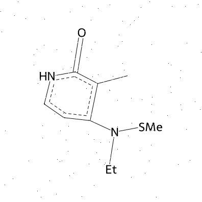 CCN(SC)c1cc[nH]c(=O)c1C